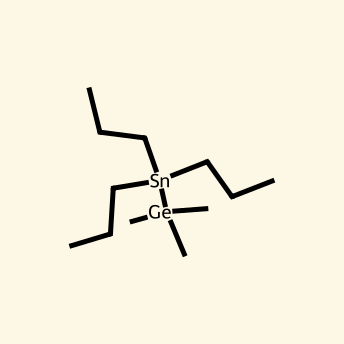 CC[CH2][Sn]([CH2]CC)([CH2]CC)[Ge]([CH3])([CH3])[CH3]